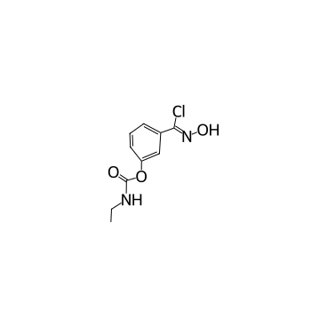 CCNC(=O)Oc1cccc(C(Cl)=NO)c1